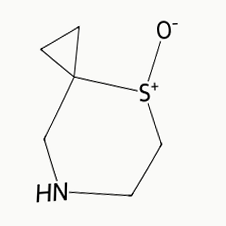 [O-][S+]1CCNCC12CC2